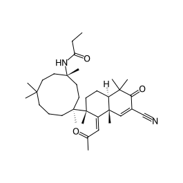 CCC(=O)N[C@@]1(C)CCC(C)(C)CCC[C@](C)([C@]2(C)CC[C@H]3C(C)(C)C(=O)C(C#N)=C[C@]3(C)/C2=C/C(C)=O)CC1